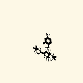 Cc1cc(Br)ccc1CO[C@@H]1[C@H]2OC(C)(C)O[C@H]2O[C@@H]1[C@H]1COC(C)(C)O1